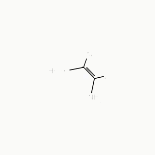 CC(=O)/C(C(=O)O)=C(\C)N